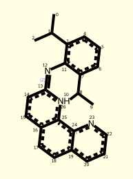 CC(C)c1cccc(C(C)C)c1/N=c1/ccc2ccc3cccnc3c2[nH]1